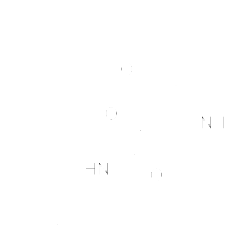 O=C(NCC1CC1)C(=O)c1c[nH]c2cccc(OCc3ccccc3)c12